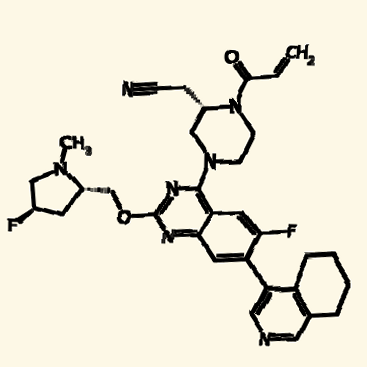 C=CC(=O)N1CCN(c2nc(OC[C@@H]3C[C@@H](F)CN3C)nc3cc(-c4cncc5c4CCCC5)c(F)cc23)C[C@@H]1CC#N